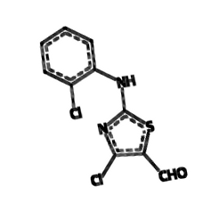 O=Cc1sc(Nc2ccccc2Cl)nc1Cl